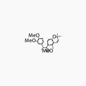 COCc1c(C(=O)C(C)c2ccc(OC)c(OC)c2)ccc2c1C=CC(C)(C)O2